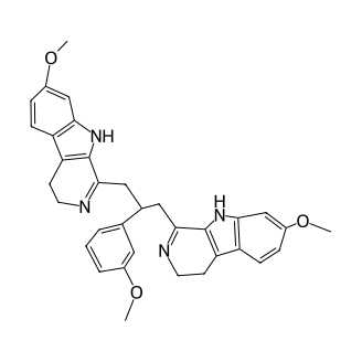 COc1cccc(C(CC2=NCCc3c2[nH]c2cc(OC)ccc32)CC2=NCCc3c2[nH]c2cc(OC)ccc32)c1